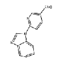 O=Cc1ccc(-n2cnc3ccccc32)nc1